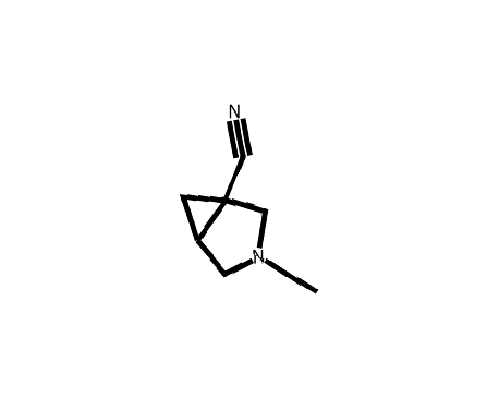 CN1CC2CC2(C#N)C1